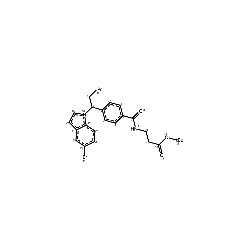 CC(C)CC(c1ccc(C(=O)NCCC(=O)OC(C)(C)C)cc1)n1ccc2cc(Br)ccc21